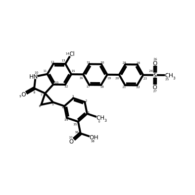 Cc1ccc(C2CC23C(=O)Nc2cc(Cl)c(-c4ccc(-c5ccc(S(C)(=O)=O)cc5)cc4)cc23)cc1C(=O)O